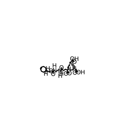 O=C(O)CN1CCN(CC(=O)O)CCN(C(CCC(=O)NCCNC(=O)OCC2[C@H]3CCC#CCC[C@@H]23)C(=O)O)CC1